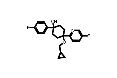 N#C[C@]1(c2ccc(F)cc2)CC[C@@](OCC2CC2)(c2ccc(F)cn2)CC1